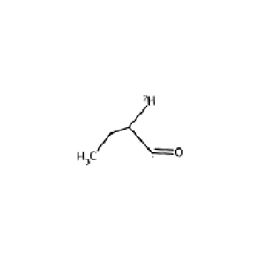 [2H]C([C]=O)CC